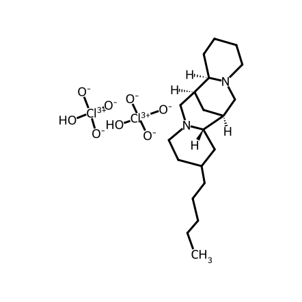 CCCCCC1CCN2C[C@@H]3C[C@@H](CN4CCCC[C@H]34)[C@@H]2C1.[O-][Cl+3]([O-])([O-])O.[O-][Cl+3]([O-])([O-])O